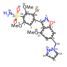 COc1cc(-c2noc3cc(Cn4cccn4)cc(OC)c23)c(Br)c(OC)c1S(N)(=O)=O